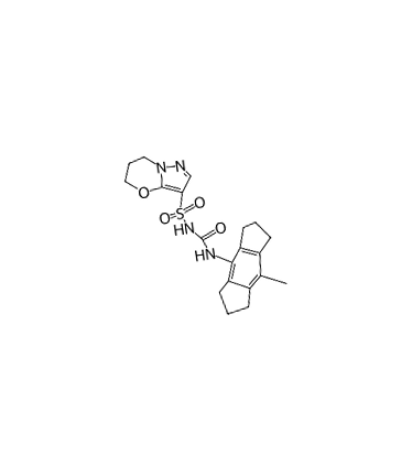 Cc1c2c(c(NC(=O)NS(=O)(=O)c3cnn4c3OCCC4)c3c1CCC3)CCC2